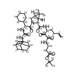 C=CCC[C@H](NC(=O)[C@@H]1[C@@H]2[C@H](CN1C(=O)[C@@H](NC(=O)NC13CC4CC(CC(C4)C1)C3)C1CCCCC1)C2(C)C)C(=O)C(=O)NCCC(=O)OC(C)(C)C